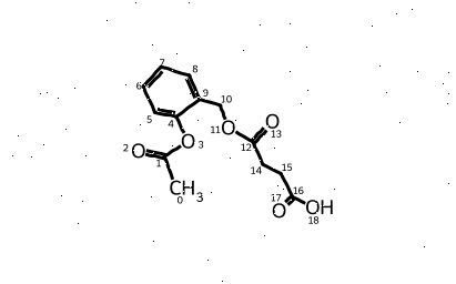 CC(=O)Oc1ccccc1COC(=O)CCC(=O)O